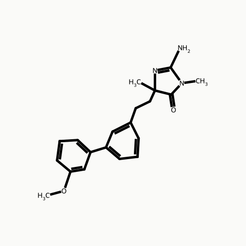 COc1cccc(-c2cccc(CCC3(C)N=C(N)N(C)C3=O)c2)c1